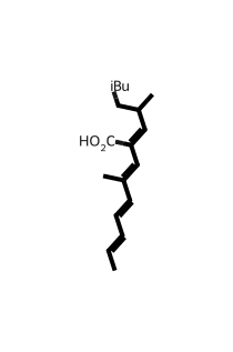 C/C=C/C=C/C(C)=C/C(=C/C(C)CC(C)CC)C(=O)O